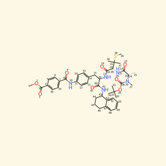 COC(=O)c1ccc(C(=O)Nc2ccc(CC(NC(=O)[C@@H](NC(=O)[C@H](C)N(C)C(=O)OC(C)(C)C)C(C)(C)SC)C(=O)NC3CCCc4ccccc43)cc2)cc1